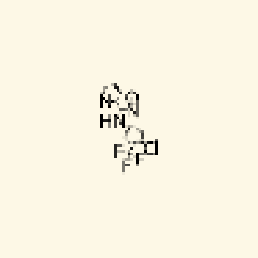 FC(F)(F)c1cc(Nc2noc3cccnc23)ccc1Cl